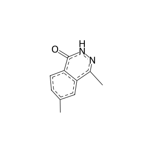 Cc1ccc2c(=O)[nH]nc(C)c2c1